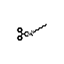 CCCCCCCCN=C(C)N1CCC(C(c2ccccc2)c2ccccc2)CC1